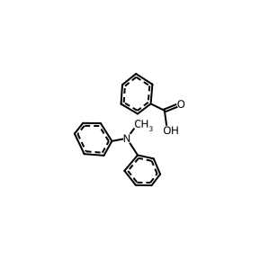 CN(c1ccccc1)c1ccccc1.O=C(O)c1ccccc1